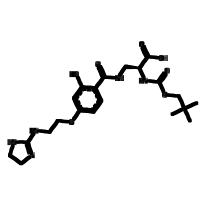 CC(C)(C)COC(=O)N[C@@H](CNC(=O)c1ccc(OCCNC2=NCCN2)cc1O)C(=O)O